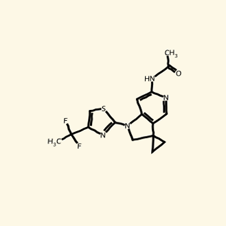 CC(=O)Nc1cc2c(cn1)C1(CC1)CN2c1nc(C(C)(F)F)cs1